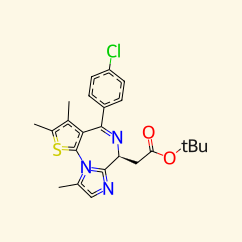 Cc1sc2c(c1C)C(c1ccc(Cl)cc1)=N[C@@H](CC(=O)OC(C)(C)C)c1ncc(C)n1-2